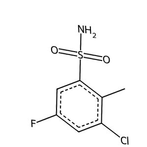 Cc1c(Cl)cc(F)cc1S(N)(=O)=O